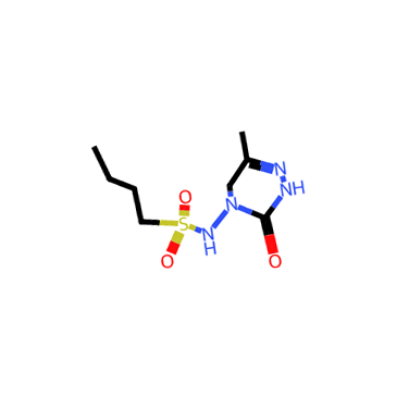 CCCCS(=O)(=O)NN1CC(C)=NNC1=O